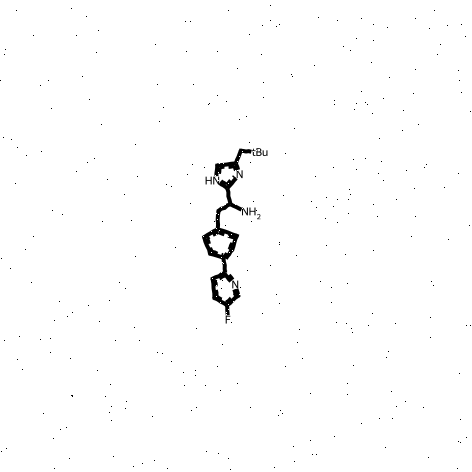 CC(C)(C)Cc1c[nH]c(C(N)Cc2ccc(-c3ccc(F)cn3)cc2)n1